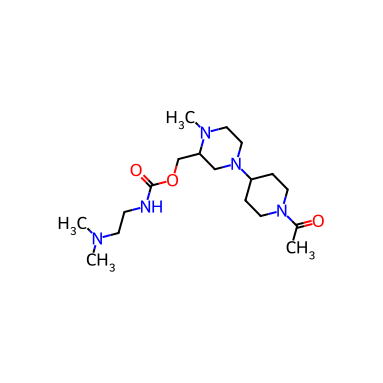 CC(=O)N1CCC(N2CCN(C)C(COC(=O)NCCN(C)C)C2)CC1